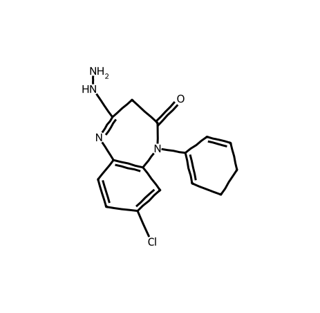 NNC1=Nc2ccc(Cl)cc2N(C2=CCCC=C2)C(=O)C1